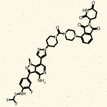 Cn1nc(-c2ccc(NSC(F)F)c(F)c2)c2c(N)ncc(-c3cnn(C4CCN(C(=O)N5CCN(c6cccc7c6C(=O)N(C6CCC(=O)NC6=O)C7=O)CC5)CC4)c3)c21